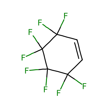 FC1(F)C=CC(F)(F)C(F)(F)C1(F)F